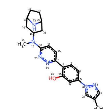 Cc1cnn(-c2ccc(-c3ccc(N(C)C4CC5CCC(C4)N5)nn3)c(O)c2)c1